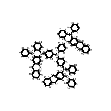 c1ccc(N2c3ccccc3N(c3ccc(N(c4ccc(N5c6ccccc6N(c6ccccc6)c6cc7c(cc65)Sc5ccccc5C7)cc4)c4ccc(N5c6ccccc6N(c6ccccc6)c6cc7c(cc65)Sc5ccccc5C7)cc4)cc3)c3cc4c(cc32)Cc2ccccc2S4)cc1